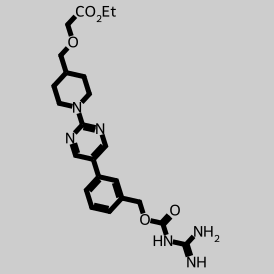 CCOC(=O)COCC1CCN(c2ncc(-c3cccc(COC(=O)NC(=N)N)c3)cn2)CC1